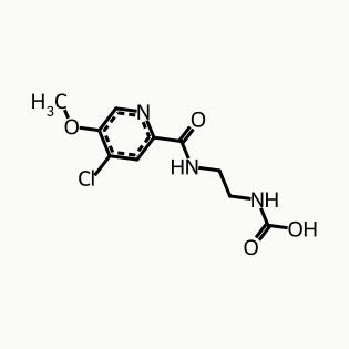 COc1cnc(C(=O)NCCNC(=O)O)cc1Cl